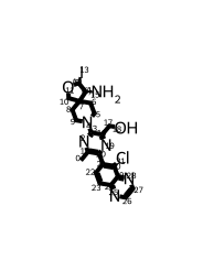 Cc1nc(N2CCC3(CC2)CO[C@@H](I)[C@H]3N)c(CO)nc1-c1ccc2nccnc2c1Cl